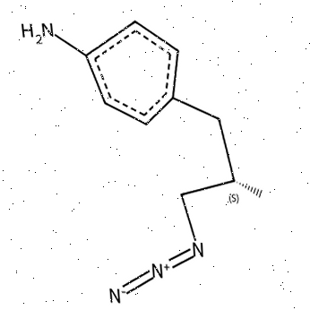 C[C@H](CN=[N+]=[N-])Cc1ccc(N)cc1